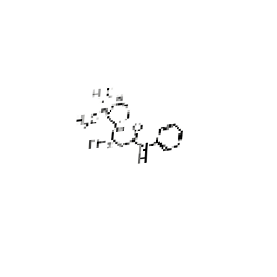 CC[C@@H](CC(=O)Nc1ccccc1)[C@H]1CC[C@@H](C)[C@H]1C